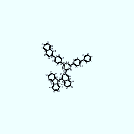 c1ccc(-c2ccc(-c3nc(-c4ccc(-c5ccc6ccccc6c5)cc4)nc(-c4cc(-n5c6ccccc6c6ccccc65)c5ccccc5c4)n3)cc2)cc1